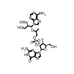 CO[C@H](CO)[C@@H](OC(C)COP(=O)(O)O[C@@H]1[C@@H](F)[C@@H](CO)O[C@H]1n1cnc2c(=O)[nH]c(N)nc21)n1cnc2c(N)ncnc21